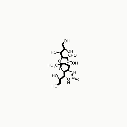 CC(=O)SN[C@H]1[C@H]([C@H](O)[C@H](O)CO)O[C@@](O[C@@H]([C@@H](O)[C@H](O)CO)[C@@H](O)C=O)(C(=O)O)C[C@@H]1O